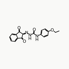 CCOc1ccc(NC(=O)NN=c2c(=O)c3ccccc3c2=O)cc1